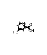 O=C(O)c1cc(O)n[c]n1